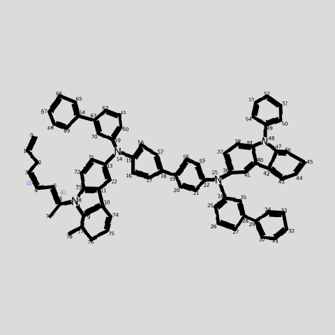 C=CC/C=C\C=C(/C)n1c2c(c3cc(N(c4ccc(-c5ccc(N(c6cccc(-c7ccccc7)c6)c6ccc7c(c6)c6ccccc6n7-c6ccccc6)cc5)cc4)c4cccc(-c5ccccc5)c4)ccc31)C=CCC2C